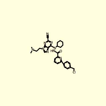 CN(C)CCn1cnc2c(N(NC(=O)c3cccc(-c4ccc(CCl)cc4)n3)C3CCCCC3)nc(C#N)nc21